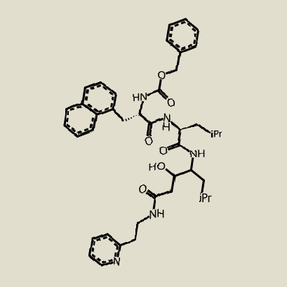 CC(C)CC(NC(=O)[C@H](CC(C)C)NC(=O)[C@H](Cc1cccc2ccccc12)NC(=O)OCc1ccccc1)C(O)CC(=O)NCCc1ccccn1